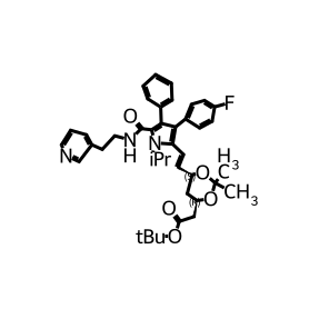 CC(C)n1c(C=C[C@@H]2C[C@H](CC(=O)OC(C)(C)C)OC(C)(C)O2)c(-c2ccc(F)cc2)c(-c2ccccc2)c1C(=O)NCCc1cccnc1